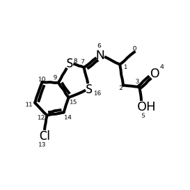 CC(CC(=O)O)N=c1sc2ccc(Cl)cc2s1